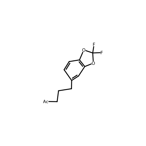 CC(=O)CCCc1ccc2c(c1)OC(F)(F)O2